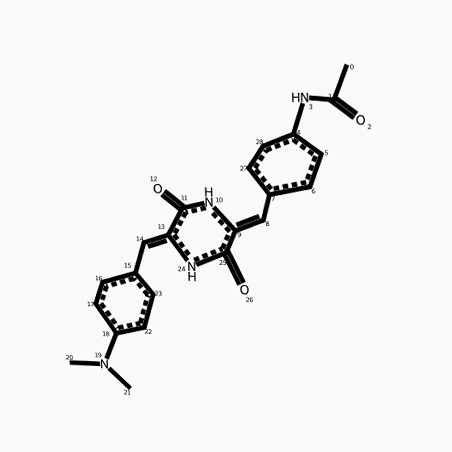 CC(=O)Nc1ccc(C=c2[nH]c(=O)c(=Cc3ccc(N(C)C)cc3)[nH]c2=O)cc1